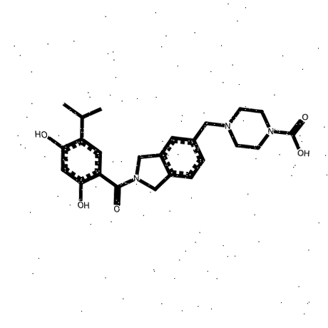 CC(C)c1cc(C(=O)N2Cc3ccc(CN4CCN(C(=O)O)CC4)cc3C2)c(O)cc1O